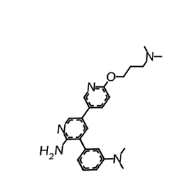 CN(C)CCCOc1ccc(-c2cnc(N)c(-c3cccc(N(C)C)c3)c2)cn1